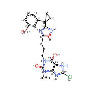 CCCCn1c(=O)n(CCCc2nc(C3(c4cccc(Br)c4)CC3)no2)c(=O)c2[nH]c(Cl)nc21